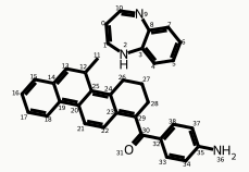 C1=CNc2ccccc2N=C1.CC1C=c2ccccc2=c2ccc3c(c21)CCCC=3C(=O)c1ccc(N)cc1